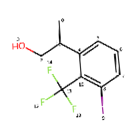 C[C](CO)c1cccc(I)c1C(F)(F)F